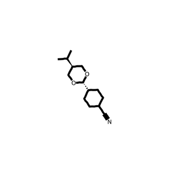 CC(C)[C@H]1CO[C@H](C2CCC(C#N)CC2)OC1